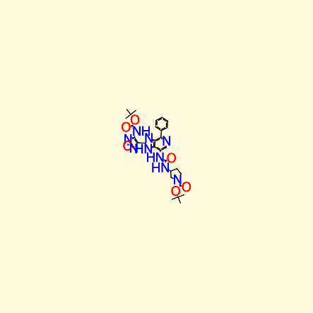 CC(C)(C)OC(=O)Nc1nonc1-c1nc2c(-c3ccccc3)ncc(NC(=O)NC3CCN(C(=O)OC(C)(C)C)C3)c2[nH]1